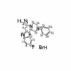 Br.NC(Cc1nc2ccc(F)cc2s1)N1CCN(c2ccccc2)CC1